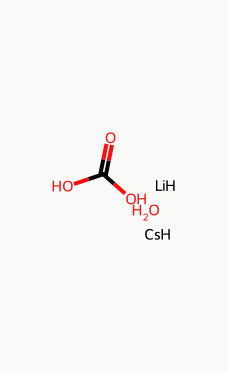 O.O=C(O)O.[CsH].[LiH]